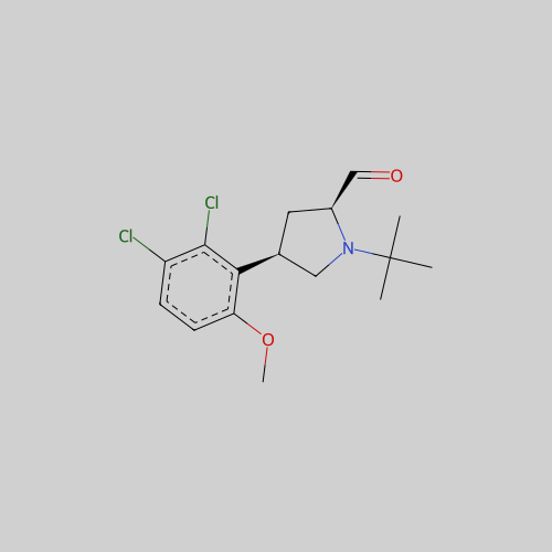 COc1ccc(Cl)c(Cl)c1[C@H]1C[C@@H](C=O)N(C(C)(C)C)C1